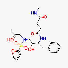 CNC(=O)CCC(=O)NC(Cc1ccccc1)C(O)CN(C[C@@H](C)O)S(=O)(=O)c1ccco1